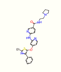 CCc1nc(-c2ccccc2)c(Oc2ccnc(Nc3ccc(C(=O)NCCN4CCCC4)cn3)c2)s1